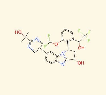 CC(C)(O)c1ncc(-c2ccc3nc4n(c3c2)[C@@H](c2c(OC(F)F)cccc2C(O)C(F)(F)F)C[C@@H]4O)cn1